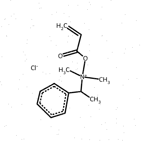 C=CC(=O)O[N+](C)(C)C(C)c1ccccc1.[Cl-]